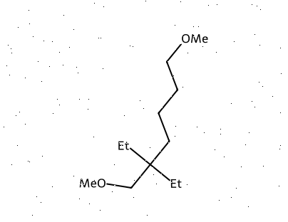 CCC(CC)(CCCCOC)COC